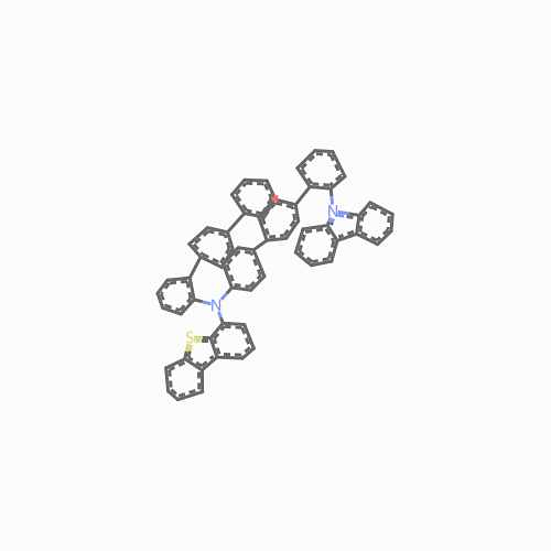 c1ccc(-c2ccc(-c3ccccc3N(c3ccc(-c4ccc(-c5ccccc5-n5c6ccccc6c6ccccc65)cc4)cc3)c3cccc4c3sc3ccccc34)cc2)cc1